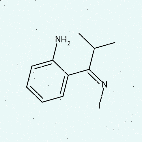 CC(C)/C(=N/I)c1ccccc1N